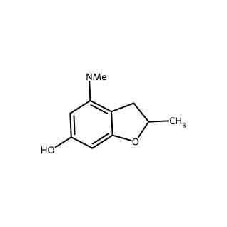 CNc1cc(O)cc2c1CC(C)O2